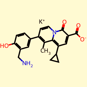 Cc1c(-c2ccc(O)c(CN)c2)ccn2c(=O)c(C(=O)[O-])cc(C3CC3)c12.[K+]